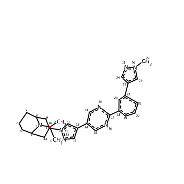 CC(C)N1C2CCCC1CC(n1cc(-c3cnc(-c4cccc(-c5cnn(C)c5)c4)nc3)cn1)C2